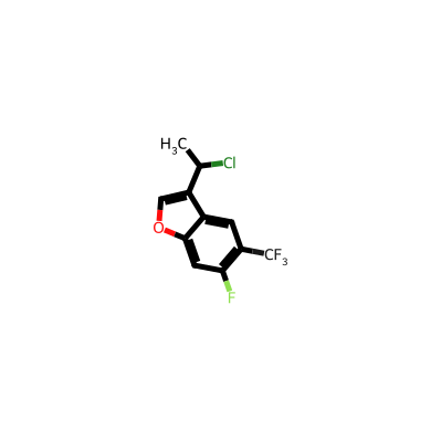 CC(Cl)c1coc2cc(F)c(C(F)(F)F)cc12